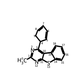 Cc1nc(C2C=CC=CC2)c2c(n1)sc1ccccc12